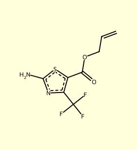 C=CCOC(=O)c1sc(N)nc1C(F)(F)F